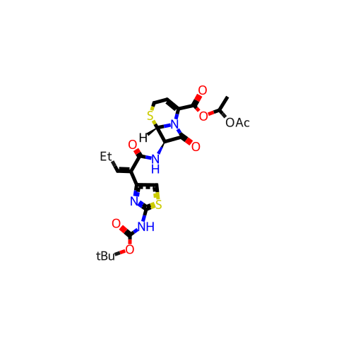 CC/C=C(\C(=O)N[C@@H]1C(=O)N2C(C(=O)OC(C)OC(C)=O)=CCS[C@@H]12)c1csc(NC(=O)OC(C)(C)C)n1